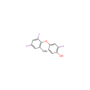 CC(=O)Oc1cc(I)cc(I)c1Oc1ccc(O)c(I)c1